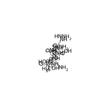 C[C@@H](O)[C@H](NC(=O)[C@H](CCCCN)NC(=O)[C@@H](Cc1c[nH]c2ccccc12)NC(=O)[C@H](Cc1ccc(O)cc1)NC(=O)[C@H](CS)NC(=O)[C@@H](N)CCCNC(=N)N)C(=O)N[C@@H](Cc1ccccc1)C(=O)O